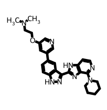 CN(C)CCOc1cncc(-c2ccc3[nH]nc(-c4nc5c(N6CCCCC6)nccc5[nH]4)c3c2)c1